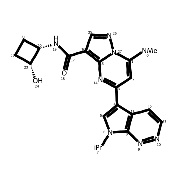 CNc1cc(-c2cn(C(C)C)c3nnccc23)nc2c(C(=O)N[C@H]3CC[C@H]3O)cnn12